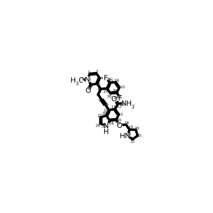 Cn1cccc(C(CC#Cc2c(C(N)=O)cc(OCC3CCCN3)c3[nH]ccc23)c2cc(F)ccc2F)c1=O